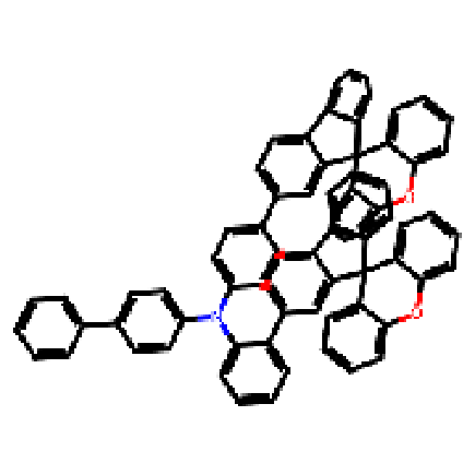 c1ccc(-c2ccc(N(c3ccc(-c4ccc5c(c4)C4(c6ccccc6Oc6ccccc64)c4ccccc4-5)cc3)c3ccccc3-c3ccc4c(c3)C3(c5ccccc5Oc5ccccc53)c3ccccc3-4)cc2)cc1